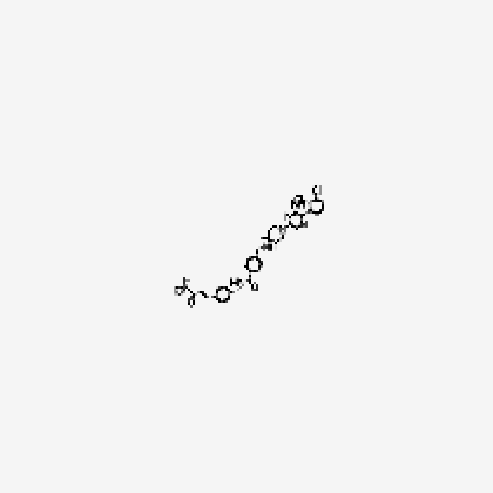 CC1(NCc2ccc(C(=O)NCc3ccc(C=CC(=O)NO)cc3)cc2)CCN(c2cnc(-c3cccc(Cl)c3Cl)c(N)n2)CC1